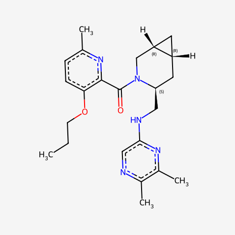 CCCOc1ccc(C)nc1C(=O)N1C[C@@H]2C[C@@H]2C[C@H]1CNc1cnc(C)c(C)n1